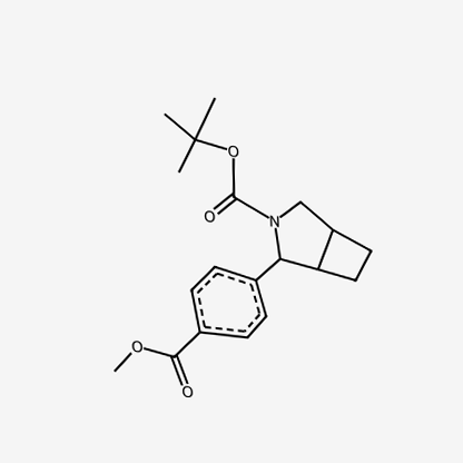 COC(=O)c1ccc(C2C3CCC3CN2C(=O)OC(C)(C)C)cc1